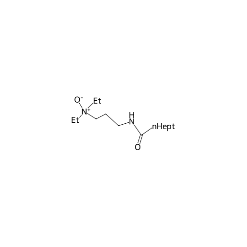 CCCCCCCC(=O)NCCC[N+]([O-])(CC)CC